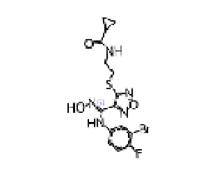 O=C(NCCSc1nonc1/C(=N/O)Nc1ccc(F)c(Br)c1)C1CC1